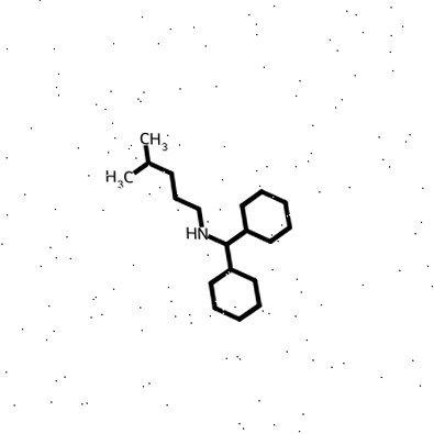 CC(C)CCCNC(C1CCCCC1)C1CCCCC1